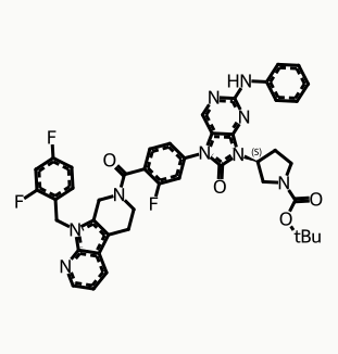 CC(C)(C)OC(=O)N1CC[C@H](n2c(=O)n(-c3ccc(C(=O)N4CCc5c(n(Cc6ccc(F)cc6F)c6ncccc56)C4)c(F)c3)c3cnc(Nc4ccccc4)nc32)C1